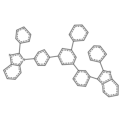 c1ccc(-c2cc(-c3ccc(-n4c(-c5ccccc5)nc5ccccc54)cc3)cc(-c3cccc(-c4c(-c5ccccc5)nc5ccccn45)c3)c2)cc1